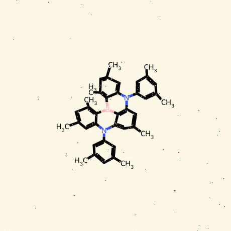 Cc1cc(C)cc(N2c3cc(C)cc(C)c3B3c4c(C)cc(C)cc4N(c4cc(C)cc(C)c4)c4cc(C)cc2c43)c1